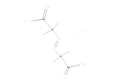 CC(C)(N=NC(C)(C)C(=N)N)C(=N)N.[Cl-].[H+]